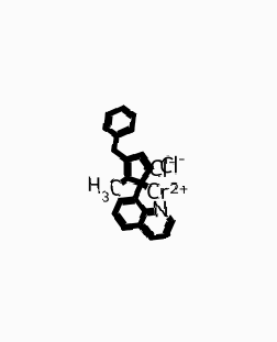 CC1=C(Cc2ccccc2)C=C[C]1([Cr+2])c1cccc2cccnc12.[Cl-].[Cl-]